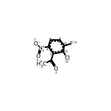 CC(=O)c1c([N+](=O)[O-])ccc(F)c1Cl